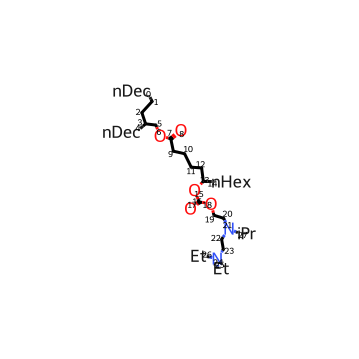 CCCCCCCCCCCCC(CCCCCCCCCC)COC(=O)CCCCC(CCCCCC)OC(=O)OCCN(CCN(CC)CC)C(C)C